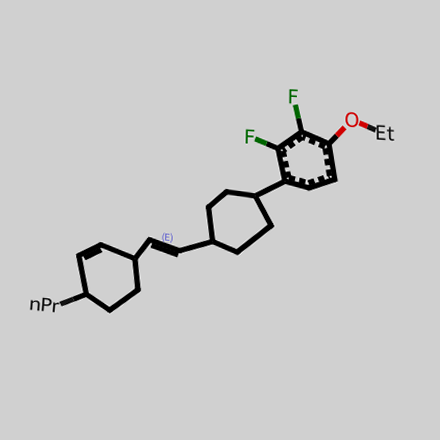 CCCC1C=CC(/C=C/C2CCC(c3ccc(OCC)c(F)c3F)CC2)CC1